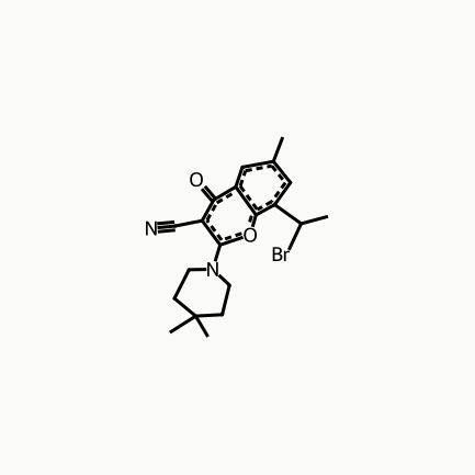 Cc1cc(C(C)Br)c2oc(N3CCC(C)(C)CC3)c(C#N)c(=O)c2c1